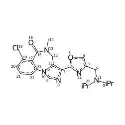 CC(C)N(Cc1coc(-c2ncn3c2CN(C)C(=O)c2c(Cl)cccc2-3)n1)C(C)C